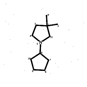 CC1(C)CCN(C2CCCC2)C1